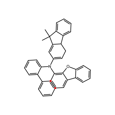 CC1(C)C2=CC(N(c3ccccc3-c3ccccc3)c3cccc4c3oc3ccccc34)=CCC2c2ccccc21